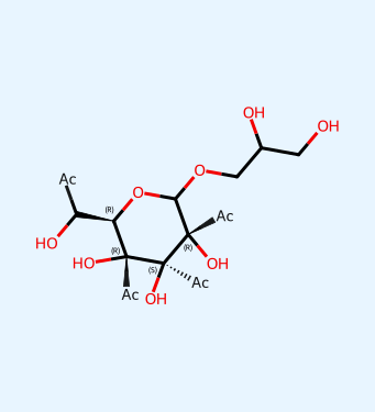 CC(=O)C(O)[C@H]1OC(OCC(O)CO)[C@@](O)(C(C)=O)[C@](O)(C(C)=O)[C@@]1(O)C(C)=O